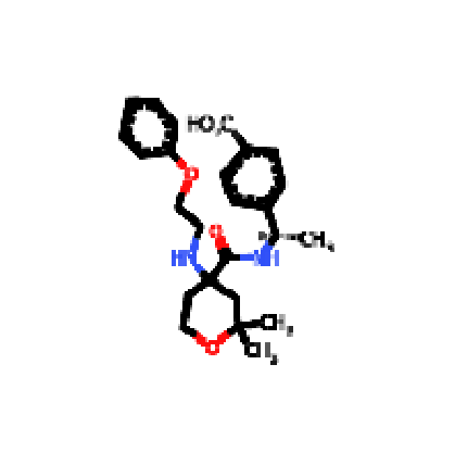 C[C@H](NC(=O)C1(NCCOc2ccccc2)CCOC(C)(C)C1)c1ccc(C(=O)O)cc1